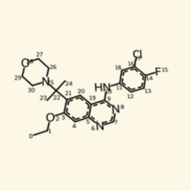 CCOc1cc2ncnc(Nc3ccc(F)c(Cl)c3)c2cc1C(C)(C)N1CCOCC1